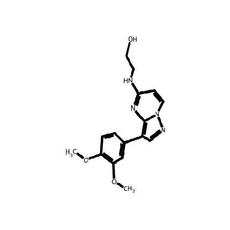 COc1ccc(-c2cnn3ccc(NCCO)nc23)cc1OC